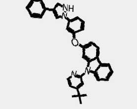 CC(C)(C)c1ccnc(-n2c3ccccc3c3ccc(Oc4cccc(N5C=C(c6ccccc6)CN5)c4)cc32)c1